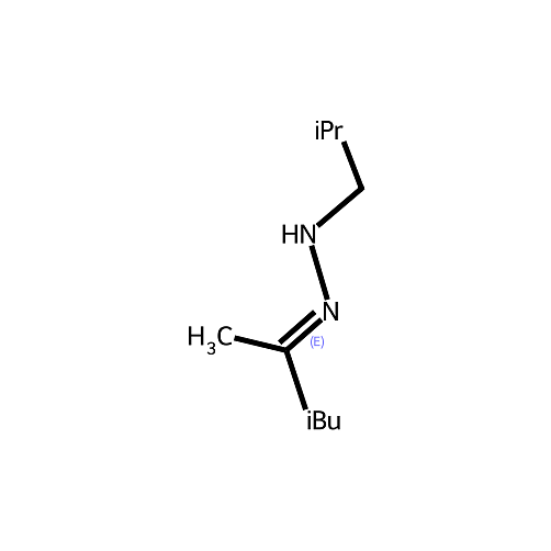 CCC(C)/C(C)=N/NCC(C)C